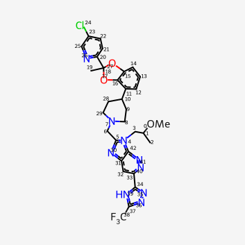 COC(C)Cn1c(CN2CCC(c3cccc4c3OC(C)(c3ccc(Cl)cn3)O4)CC2)nc2cc(-c3nnc(C(F)(F)F)[nH]3)nnc21